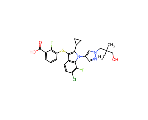 CC(C)(CO)Cn1cc(-n2c(C3CC3)c(Sc3cccc(C(=O)O)c3F)c3ccc(Cl)c(F)c32)cn1